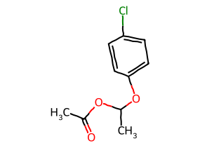 CC(=O)OC(C)Oc1ccc(Cl)cc1